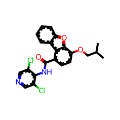 CC(C)COc1ccc(C(=O)Nc2c(Cl)cncc2Cl)c2c1oc1ccccc12